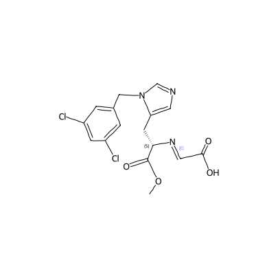 COC(=O)[C@H](Cc1cncn1Cc1cc(Cl)cc(Cl)c1)/N=C/C(=O)O